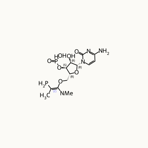 CN/C(OC[C@H]1O[C@@H](n2ccc(N)nc2=O)[C@H](O)[C@@H]1O[PH](=O)O)=C(\C)P